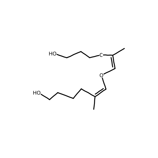 CC(=COC=C(C)CCCCO)CCCCO